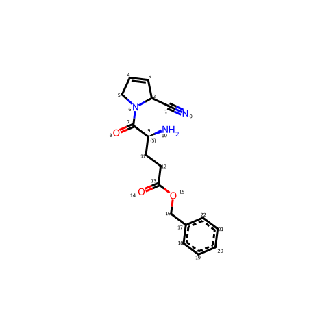 N#CC1C=CCN1C(=O)[C@@H](N)CCC(=O)OCc1ccccc1